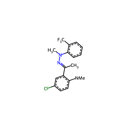 CNc1ccc(Cl)cc1/C(C)=N/N(C)c1ccccc1C(F)(F)F